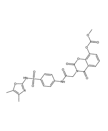 COC(=O)Oc1cccc2c(=O)n(CC(=O)Nc3ccc(S(=O)(=O)Nc4nc(C)c(C)o4)cc3)c(=O)oc12